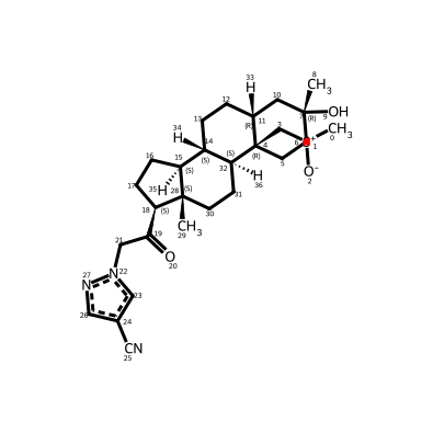 C[S+]([O-])C[C@]12CC[C@@](C)(O)C[C@H]1CC[C@H]1[C@@H]3CC[C@H](C(=O)Cn4cc(C#N)cn4)[C@@]3(C)CC[C@@H]12